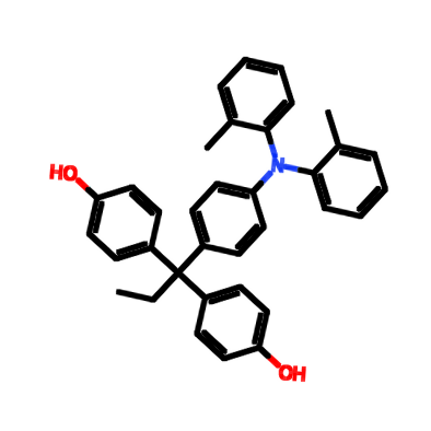 CCC(c1ccc(O)cc1)(c1ccc(O)cc1)c1ccc(N(c2ccccc2C)c2ccccc2C)cc1